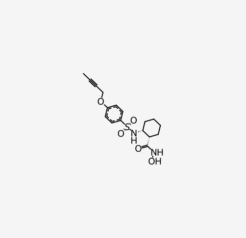 CC#CCOc1ccc(S(=O)(=O)N[C@@H]2CCCC[C@@H]2C(=O)NO)cc1